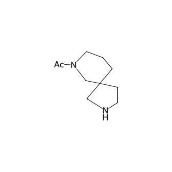 CC(=O)N1CCCC2(CCNC2)C1